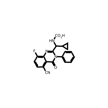 N#Cc1ccc(F)c2nc(C(NC(=O)O)C3CC3)n(-c3ccccc3)c(=O)c12